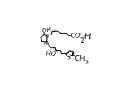 Cc1ccc(CC[C@H](O)/C=C/[C@H]2CCC(O)[C@@H]2C/C=C\CCCC(=O)O)s1